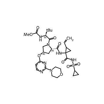 C=CC1CC1(NC(=O)[C@@H]1C[C@@H](Oc2ccnc(N3CCOCC3)n2)CN1C(=O)[C@@H](NC(=O)OC)C(C)(C)C)C(=O)NS(=O)(=O)C1CC1